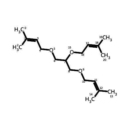 CC(C)=CCOCC(COCC=C(C)C)OCC=C(C)C